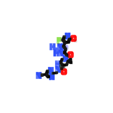 COc1cc(/C(N)=C/C(=N)C(=O)N2CC[C@H](C(=O)NCc3ncc(C#N)cn3)CC23CC3)c(F)cn1